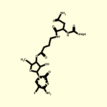 CCCCCCCC(=O)NC(CC(N)=O)C(=O)NCCCC(=O)OC1C(C)OC(n2cc(F)c(N)nc2=O)C1O